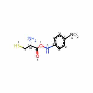 N[C@@H](CS)C(=O)ONc1ccc([N+](=O)[O-])cc1